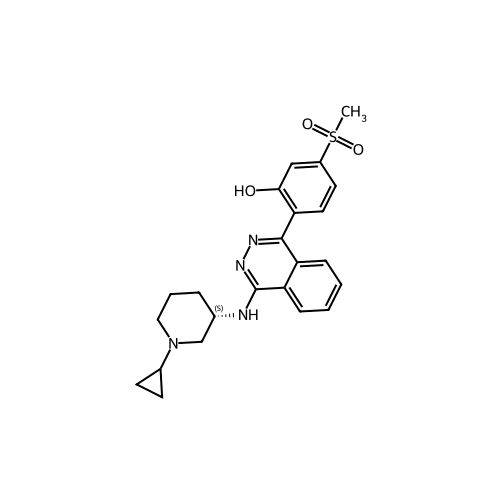 CS(=O)(=O)c1ccc(-c2nnc(N[C@H]3CCCN(C4CC4)C3)c3ccccc23)c(O)c1